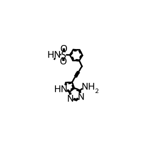 CNS(=O)(=O)c1cccc(CC#Cc2c[nH]c3ncnc(N)c23)c1